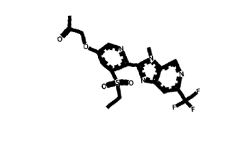 CCS(=O)(=O)c1cc(OCC(C)=O)cnc1-c1nc2cc(C(F)(F)F)ncc2n1C